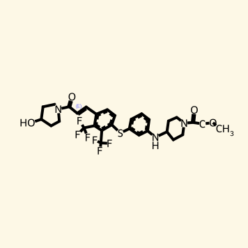 COCC(=O)N1CCC(Nc2cccc(Sc3ccc(/C=C/C(=O)N4CCC(O)CC4)c(C(F)(F)F)c3C(F)(F)F)c2)CC1